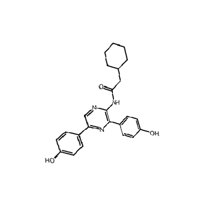 O=C(CC1CCCCC1)Nc1ncc(-c2ccc(O)cc2)nc1-c1ccc(O)cc1